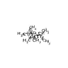 CCOC(OCC)=C(OCC)OC(OCC)=C(OCC)OCC